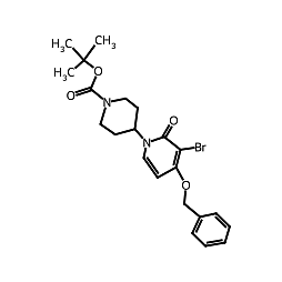 CC(C)(C)OC(=O)N1CCC(n2ccc(OCc3ccccc3)c(Br)c2=O)CC1